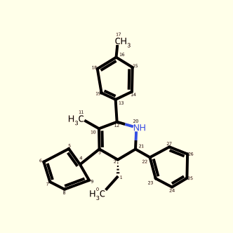 CC[C@@H]1C(c2ccccc2)=C(C)C(c2ccc(C)cc2)NC1c1ccccc1